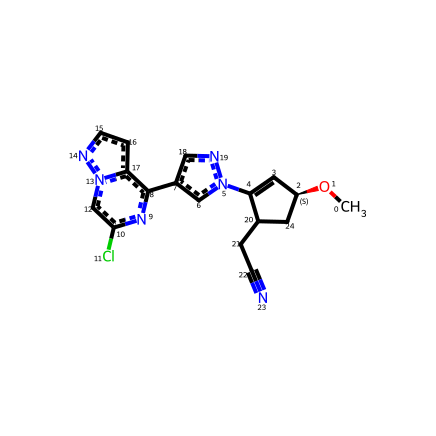 CO[C@@H]1C=C(n2cc(-c3nc(Cl)cn4nccc34)cn2)C(CC#N)C1